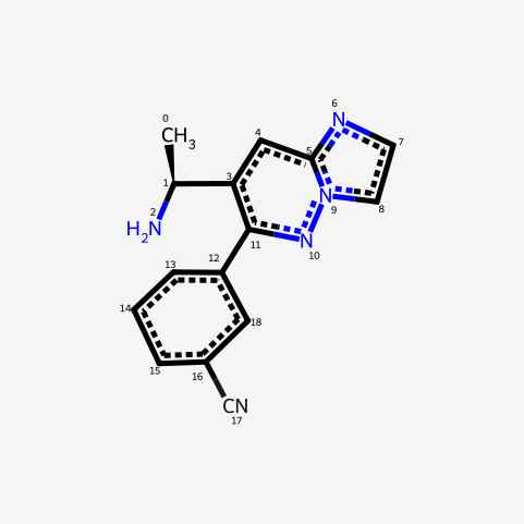 C[C@H](N)c1cc2nccn2nc1-c1cccc(C#N)c1